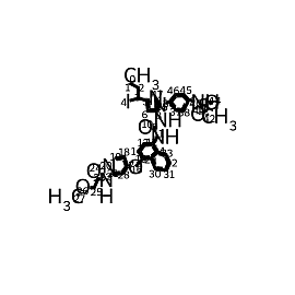 CCCC(I)c1cc(NC(=O)Nc2ccc(Oc3ccnc(NC(=O)COC)c3)c3ccccc23)n(-c2ccc(NS(C)(=O)=O)cc2)n1